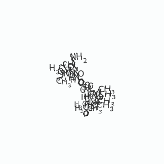 CCCC(=O)NC(C(=O)N[C@@H](CCCCN)C(=O)Nc1ccc(S(=O)(=O)NC(=O)/C(C)=C/[C@H](C(C)C)N(C)C(=O)C(NC(=O)[C@@H](NC)C(C)(C)c2ccccc2)C(C)(C)C)cc1)C(C)C